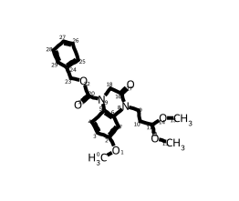 COc1ccc2c(c1)N(CCC(OC)OC)C(=O)CN2C(=O)OCc1ccccc1